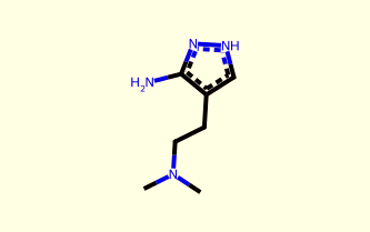 CN(C)CCc1c[nH]nc1N